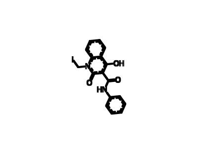 O=C(Nc1ccccc1)c1c(O)c2ccccc2n(CI)c1=O